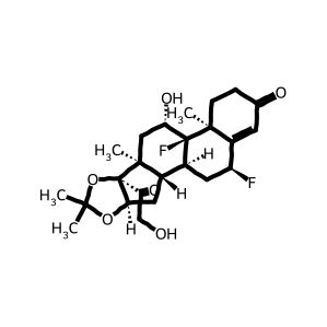 CC1(C)O[C@@H]2C[C@H]3[C@@H]4C[C@H](F)C5=CC(=O)CC[C@]5(C)[C@@]4(F)[C@@H](O)C[C@]3(C)[C@]2(C(=O)CO)O1